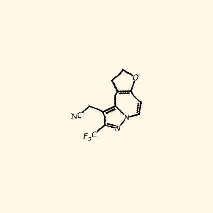 N#CCc1c(C(F)(F)F)nn2ccc3c(c12)CCO3